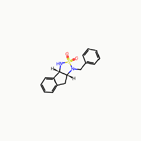 O=S1(=O)N[C@H]2c3ccccc3C[C@H]2N1Cc1ccccc1